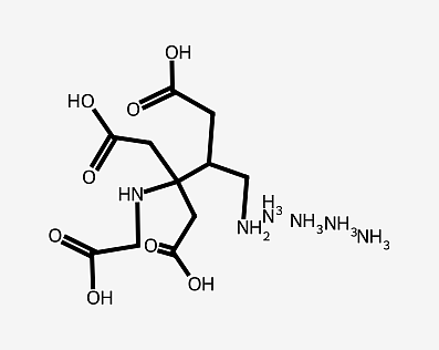 N.N.N.N.NCC(CC(=O)O)C(CC(=O)O)(CC(=O)O)NCC(=O)O